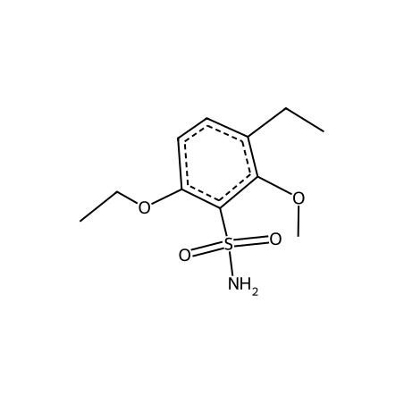 CCOc1ccc(CC)c(OC)c1S(N)(=O)=O